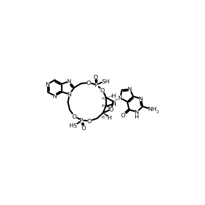 Nc1nc2ncn([C@@H]3O[C@@H]4COP(=O)(S)OCCn5c(nc6cncnc65)COP(=O)(S)O[C@@H]3[C@@H]4F)c2c(=O)[nH]1